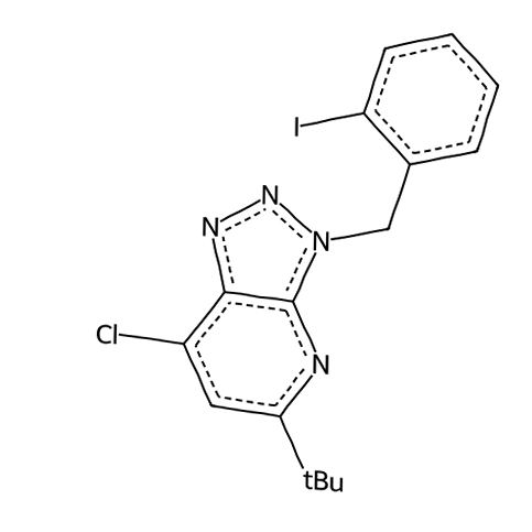 CC(C)(C)c1cc(Cl)c2nnn(Cc3ccccc3I)c2n1